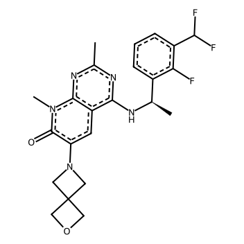 Cc1nc(N[C@H](C)c2cccc(C(F)F)c2F)c2cc(N3CC4(COC4)C3)c(=O)n(C)c2n1